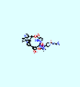 CCn1c(-c2cccnc2[C@H](C)OC)c2c3cc(ccc31)-c1cc(O)cc(c1)C[C@H](NC(=O)C(C(C)C)N(C)C(=O)C1CCN(C(=O)/C=C/CN(C)C)CC1)C(=O)N1CCC[C@H](N1)C(=O)OCC(C)(C)C2